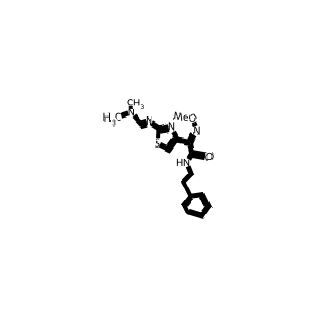 CO/N=C(/C(=O)NCCc1ccccc1)c1csc(/N=C/N(C)C)n1